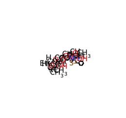 CC[C@@H](C(=O)[C@@H](C)[C@@H](O)[C@H](C)[C@@H]1O[C@@H]([C@@H](CC)C(=O)O)CC[C@@H]1C)[C@H]1O[C@]2(C=C[C@@H](NC(=S)SCc3ccccc3)[C@]3(CC[C@@](C)([C@H]4CC[C@](O)(CC)[C@H](C)O4)O3)O2)[C@H](C)C[C@@H]1C